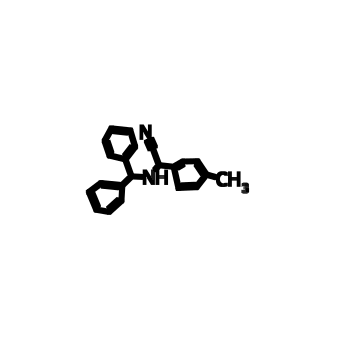 Cc1ccc(C(C#N)NC(c2ccccc2)c2ccccc2)cc1